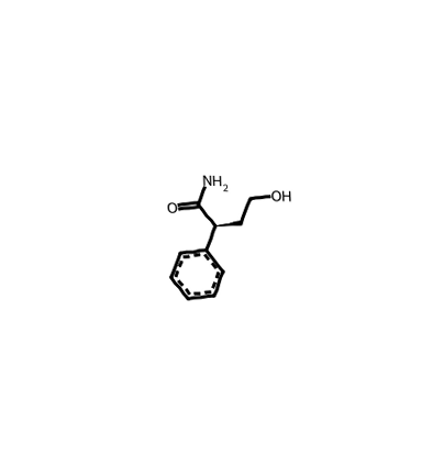 NC(=O)[C@@H](CCO)c1ccccc1